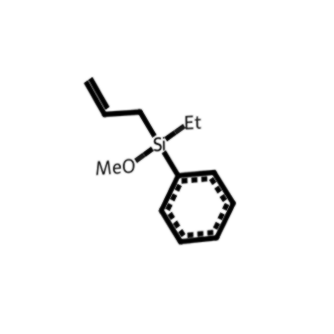 C=CC[Si](CC)(OC)c1ccccc1